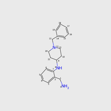 NCc1ccccc1NC1CCN(Cc2ccccc2)CC1